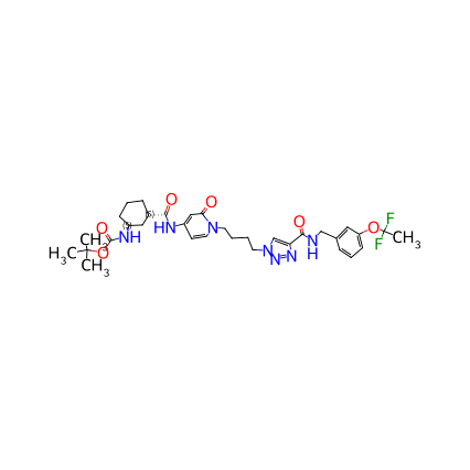 CC(C)(C)OC(=O)N[C@H]1CCC[C@H](C(=O)Nc2ccn(CCCCn3cc(C(=O)NCc4cccc(OC(C)(F)F)c4)nn3)c(=O)c2)C1